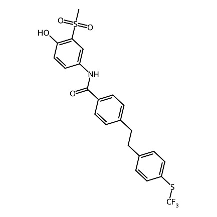 CS(=O)(=O)c1cc(NC(=O)c2ccc(CCc3ccc(SC(F)(F)F)cc3)cc2)ccc1O